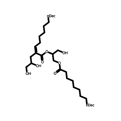 CCCCCCCCCCCCCCCC=C(CC(O)CO)C(=O)OC(CO)COC(=O)CCCCCCCCCCCCCCCCC